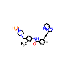 Cc1ccc(C(=O)Nc2ccc(CN3CCN(P)CC3)c(C(F)(F)F)c2)cc1C#Cc1cnc2cccnn12